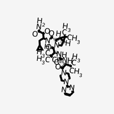 CC(C)[C@H](NC(=O)N[C@H](C(=O)N1C[C@H]2[C@@H]([C@H]1C(=O)NC(CC1CC1)C(=O)C(N)=O)C2(C)C)C(C)(C)C)C(=O)N1CCN(c2ncccn2)CC1